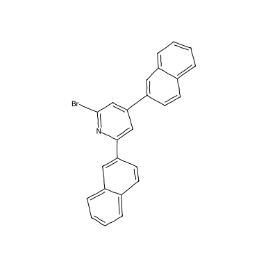 Brc1cc(-c2ccc3ccccc3c2)cc(-c2ccc3ccccc3c2)n1